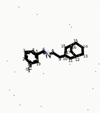 Fc1cccc(/C=N/CCC2CC3CCCC(C3)C2)c1